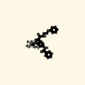 CC(C)(C)n1nc(C(=O)NCCOc2ccccc2)c2sc(NC(=O)c3ccccc3)nc21